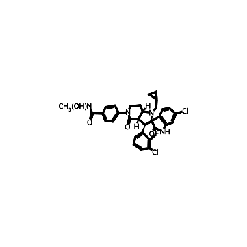 CN(O)C(=O)c1ccc(N2CC[C@H]3[C@@H](C2=O)[C@H](c2cccc(Cl)c2F)[C@]2(C(=O)Nc4cc(Cl)ccc42)N3CC2CC2)cc1